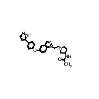 CC(=O)NC1CCN(CCn2ncc3cc(Oc4ccc(-c5ccn[nH]5)cc4)ccc32)C1